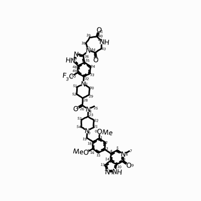 COc1cc(-c2cn(C)c(=O)c3[nH]ncc23)cc(OC)c1CN1CCC(N(C)C(=O)C2CCN(c3ccc4c(N5CCC(=O)NCC5=O)n[nH]c4c3C(F)(F)F)CC2)CC1